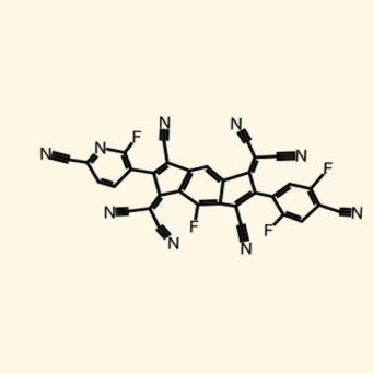 N#CC(C#N)=C1C(c2cc(F)c(C#N)cc2F)=C(C#N)c2c1cc1c(c2F)C(=C(C#N)C#N)C(c2ccc(C#N)nc2F)=C1C#N